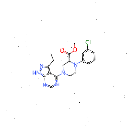 CCc1n[nH]c2ncnc(N3CCN(c4cccc(Cl)c4)C(C(=O)OC)C3)c12